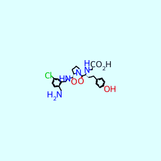 NCc1ccc(Cl)cc1CNC(=O)[C@@H]1CCCN1C(=O)[C@@H](CCc1ccc(O)cc1)NCC(=O)O